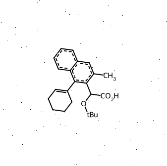 Cc1cc2ccccc2c(C2=CCCCC2)c1C(OC(C)(C)C)C(=O)O